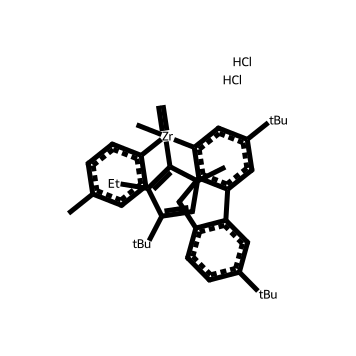 Cl.Cl.[CH2]=[Zr]([CH3])([C]1=C(CC)C(C(C)(C)C)=CC1C)([c]1ccc(C)cc1)[c]1cc(C(C)(C)C)cc2c1Cc1ccc(C(C)(C)C)cc1-2